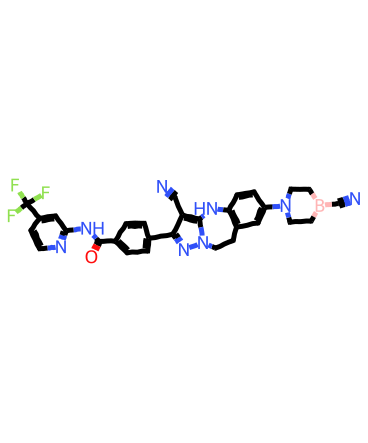 N#CB1CCN(c2ccc3c(c2)CCn2nc(-c4ccc(C(=O)Nc5cc(C(F)(F)F)ccn5)cc4)c(C#N)c2N3)CC1